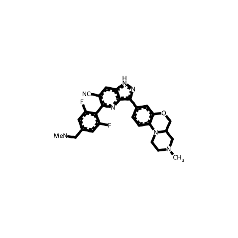 CNCc1cc(F)c(-c2nc3c(-c4ccc5c(c4)OCC4CN(C)CCN54)n[nH]c3cc2C#N)c(F)c1